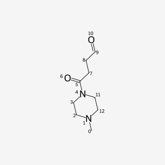 CN1CCN(C(=O)CCC=O)CC1